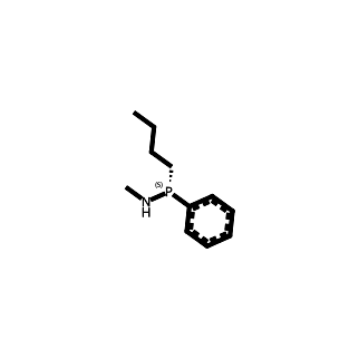 CCCC[P@@](NC)c1ccccc1